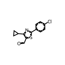 O=Cc1sc(-c2ccc(Cl)cc2)nc1C1CC1